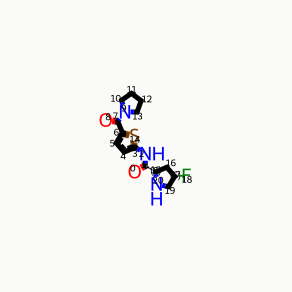 O=C(Nc1ccc(C(=O)N2CCCC2)s1)[C@@H]1C[C@H](F)CN1